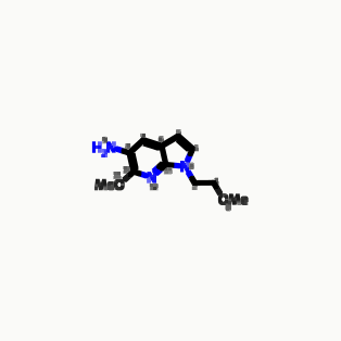 COCCn1ccc2cc(N)c(OC)nc21